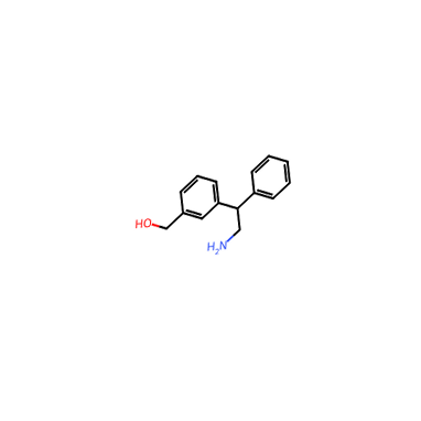 NCC(c1ccccc1)c1cccc(CO)c1